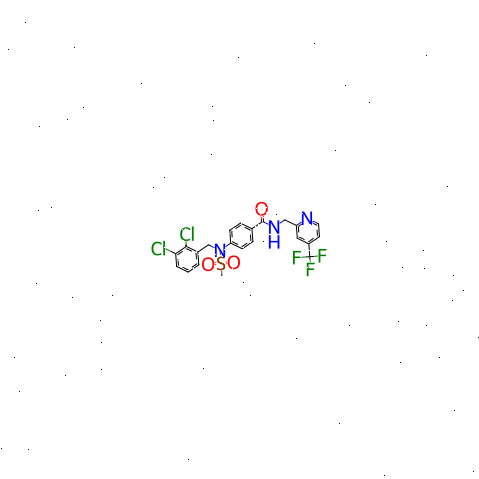 CS(=O)(=O)N(Cc1cccc(Cl)c1Cl)c1ccc(C(=O)NCc2cc(C(F)(F)F)ccn2)cc1